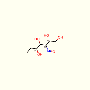 CC[C@H](O)C(O)[C@H](N=O)[C@H](O)CO